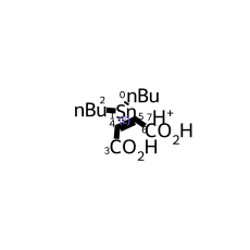 CCC[CH2][Sn][CH2]CCC.O=C(O)/C=C\C(=O)O.[H+]